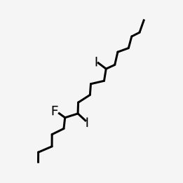 CCCCCCC(I)CCCCC(I)C(F)CCCCC